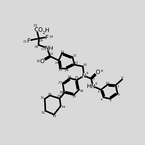 Cc1cccc(NC(=O)N(Cc2ccc(C(=O)NCC(F)(F)C(=O)O)cc2)c2ccc(C3CCCCC3)cc2)c1